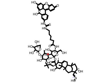 CC1O[C@@H](C[C@@]2(OC(=O)[C@@]3(CCC(C)(C)C)C(O)CC4(C)C(=CCC5C6(C)CC[C@H](O)C(C)(/C=N/O)C(CCC54C)C6)C3I)OC(CO)[C@H](NC(=O)CCCCCNC(=S)Nc3ccc(-c4c5ccc(=O)cc-5oc5cc(O)ccc45)c(C(=O)O)c3)C(O)C2O)C(O)C(O)[C@H]1O[C@@H]1OC[C@@H](O)C(O)C1O